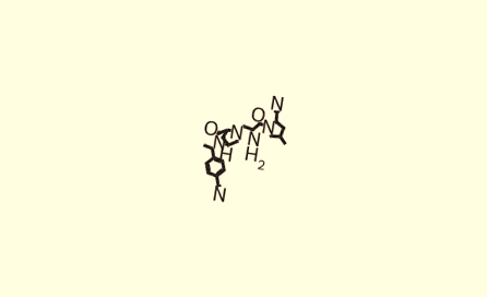 CC1CC(C#N)N(C(=O)C(N)CN2C[C@@H]3CC2C(=O)N3C(C)c2ccc(C#N)cc2)C1